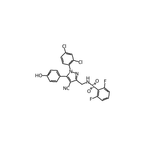 N#Cc1c(CNS(=O)(=O)c2c(F)cccc2F)nn(-c2ccc(Cl)cc2Cl)c1-c1ccc(O)cc1